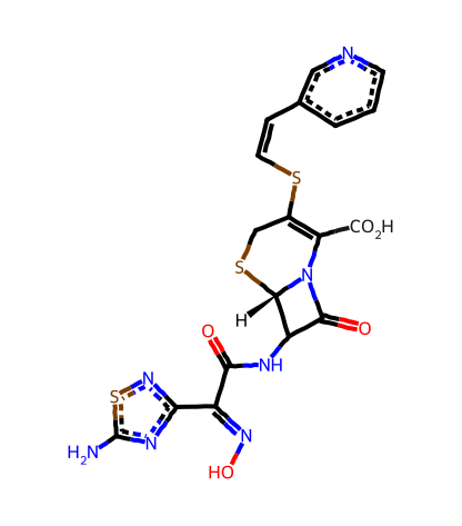 Nc1nc(C(=NO)C(=O)NC2C(=O)N3C(C(=O)O)=C(S/C=C\c4cccnc4)CS[C@@H]23)ns1